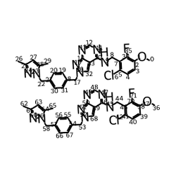 COc1ccc(Cl)c(CNc2ncnc3nn(Cc4ccc(Cn5nc(C)cc5C)cc4)cc23)c1F.COc1ccc(Cl)c(CNc2ncnc3nn(Cc4ccc(Cn5nc(C)cc5C)cc4)cc23)c1F